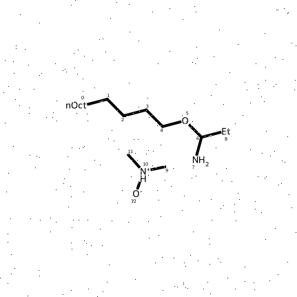 CCCCCCCCCCCCOC(N)CC.C[NH+](C)[O-]